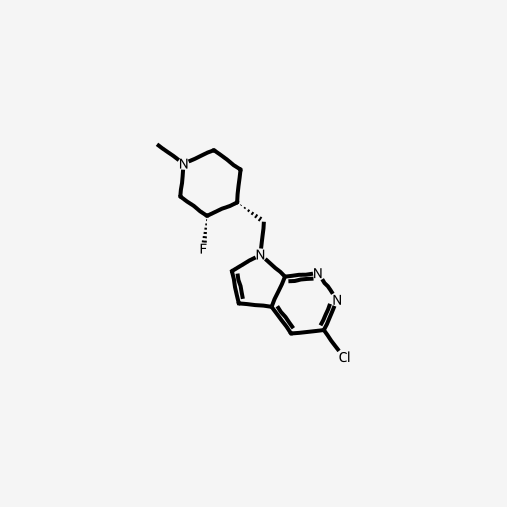 CN1CC[C@H](Cn2ccc3cc(Cl)nnc32)[C@H](F)C1